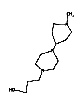 CN1CCC(N2CCN(CCCO)CC2)CC1